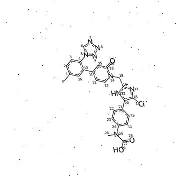 Cc1ccc(-n2cnnn2)c(-c2ccn(Cc3nc(Cl)c(-c4ccc(N(C)C(=O)O)cc4)[nH]3)c(=O)c2)c1